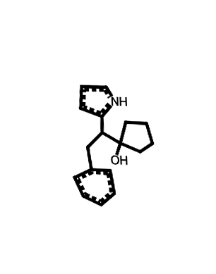 OC1(C(Cc2ccccc2)c2ccc[nH]2)CCCC1